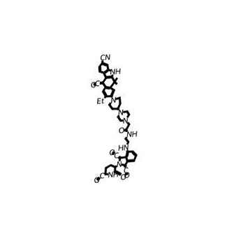 CCc1cc2c(cc1N1CCC(N3CCN(CC(=O)NCCNc4cccc5c(=C=O)n(C6CCC(=C=O)NC6=C=O)c(=C=O)c45)CC3)CC1)C(C)(C)c1[nH]c3cc(C#N)ccc3c1C2=C=O